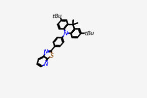 CC(C)(C)c1ccc2c(c1)C(C)(C)c1cc(C(C)(C)C)ccc1N2c1ccc(-c2nc3cccnc3s2)cc1